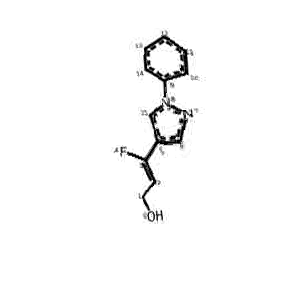 OC/C=C(\F)c1cnn(-c2ccccc2)c1